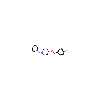 Fc1ccc(COC2CCN(Cc3ccccc3)CC2)cc1